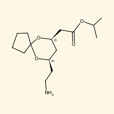 CC(C)OC(=O)C[C@H]1C[C@@H](CCN)OC2(CCCC2)O1